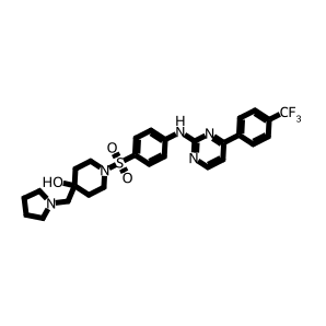 O=S(=O)(c1ccc(Nc2nccc(-c3ccc(C(F)(F)F)cc3)n2)cc1)N1CCC(O)(CN2CCCC2)CC1